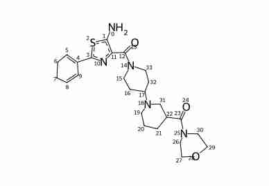 Nc1sc(C2=CCCC=C2)nc1C(=O)N1CCC(N2CCCC(C(=O)N3CCOCC3)C2)CC1